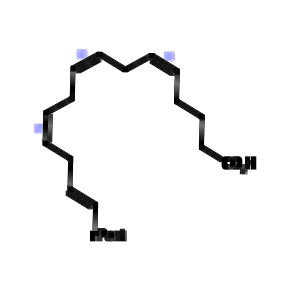 CCCCCC=CC/C=C\C/C=C\C/C=C\CCCC(=O)O